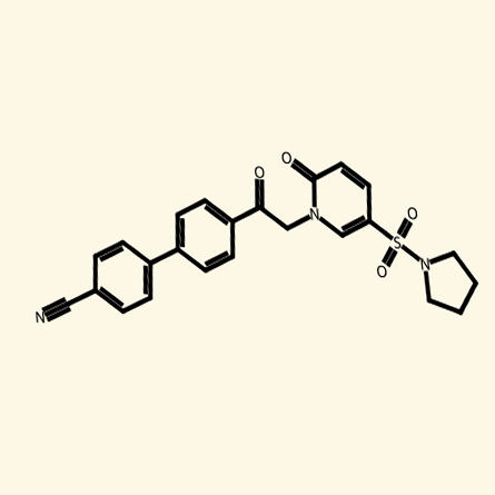 N#Cc1ccc(-c2ccc(C(=O)Cn3cc(S(=O)(=O)N4CCCC4)ccc3=O)cc2)cc1